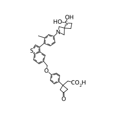 Cc1cc(N2CC3(CCS3(O)O)C2)ccc1-c1csc2ccc(COc3ccc(C4(CC(=O)O)CC(=O)C4)cc3)cc12